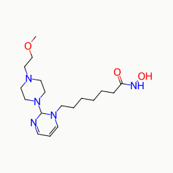 COCCN1CCN(C2N=CC=CN2CCCCCCC(=O)NO)CC1